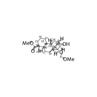 COCO[C@@H]1[C@H](O)[C@H]2CC[C@@]13CC[C@H]1[C@@](C)(CCC[C@@]1(C)C(=O)OC)[C@@H]3C2